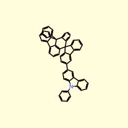 c1ccc(-n2c3ccccc3c3cc(-c4ccc5c(c4)-c4ccccc4C54c5ccccc5C5(c6ccccc6)c6ccccc6-c6cccc4c65)ccc32)cc1